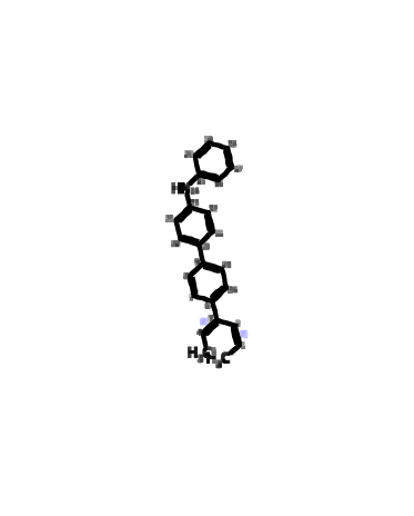 C/C=C\C(=C/C)c1ccc(-c2ccc(Nc3ccccc3)cc2)cc1